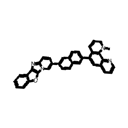 CN1CC=Cc2c(-c3ccc4cc(-c5ccc6nc7c8ccccc8oc7n6c5)ccc4c3)cc3cccnc3c21